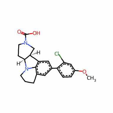 COc1ccc(-c2cc3c4c(c2)[C@@H]2CN(C(=O)O)CC[C@@H]2N4CCC3)c(Cl)c1